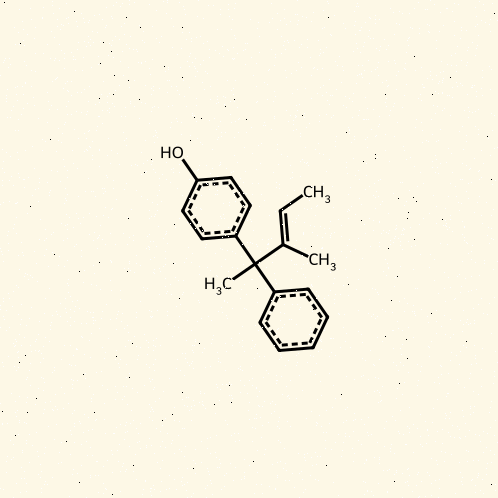 C/C=C(\C)C(C)(c1ccccc1)c1ccc(O)cc1